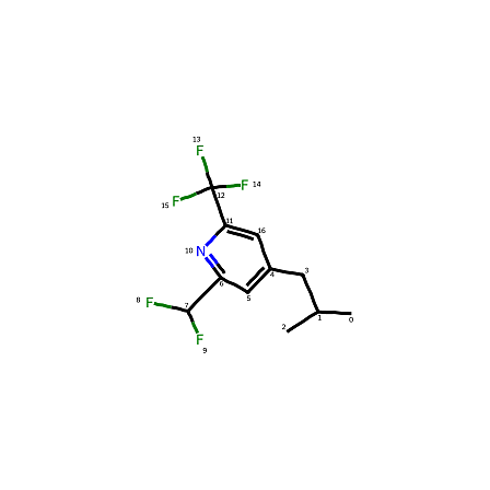 CC(C)Cc1cc(C(F)F)nc(C(F)(F)F)c1